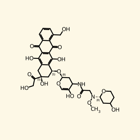 CON(CC(=O)NC1C[C@H](O[C@H]2C[C@](O)(C(=O)CO)Cc3c(O)c4c(c(O)c32)C(=O)c2c(CO)cccc2C4=O)OC=C1O)[C@H]1CC(O)CCO1